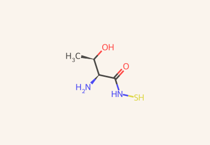 C[C@@H](O)[C@H](N)C(=O)NS